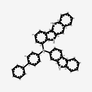 c1ccc(-c2ccc(N(c3ccc4c(c3)oc3ccccc34)c3cccc4c3sc3cc5ccccc5nc34)cc2)cc1